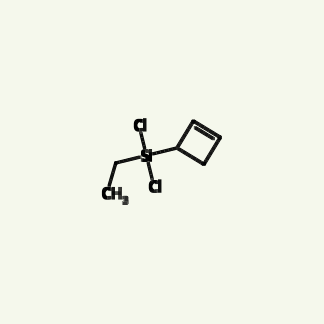 CC[Si](Cl)(Cl)C1C=CC1